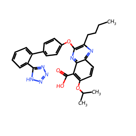 CCCCc1nc2ccc(OC(C)C)c(C(=O)O)c2nc1Oc1ccc(-c2ccccc2-c2nnn[nH]2)cc1